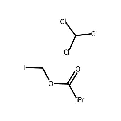 CC(C)C(=O)OCI.ClC(Cl)Cl